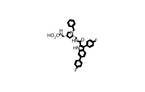 O=C(O)NC[C@H]1C[C@@H](CNC(=O)c2[nH]c3cc(-c4ccc(F)cc4)ccc3c2-c2ccc(F)cc2)N(Cc2ccccc2)C1